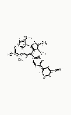 Cc1sc2c(c1C)C(c1ccc(-c3cncc(C#N)c3)cc1)=NC([C@H](C)C(=O)O)c1nnc(C)n1-2